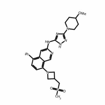 COC1CCN(c2n[nH]c(Nc3cc4c(C(C)C)ccc(N5CC(CS(C)(=O)=O)C5)c4cn3)n2)CC1